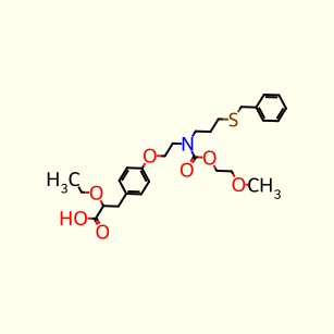 CCOC(Cc1ccc(OCCN(CCCSCc2ccccc2)C(=O)OCCOC)cc1)C(=O)O